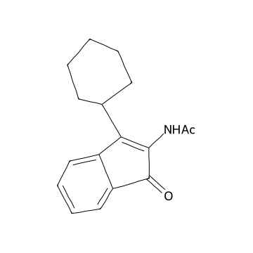 CC(=O)NC1=C(C2CCCCC2)c2ccccc2C1=O